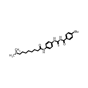 CN(C)CCCCCCCC(=O)Nc1ccc(NC(=S)NC(=O)c2ccc(C(C)(C)C)cc2)cc1